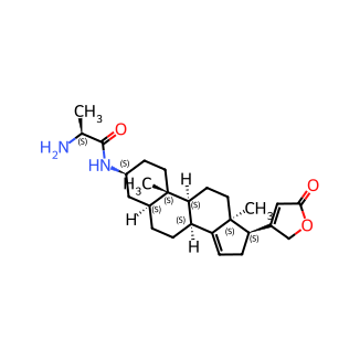 C[C@H](N)C(=O)N[C@H]1CC[C@@]2(C)[C@@H](CC[C@@H]3C4=CC[C@H](C5=CC(=O)OC5)[C@]4(C)CC[C@@H]32)C1